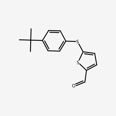 CC(C)(C)c1ccc(Sc2ccc(C=O)s2)cc1